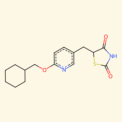 O=C1NC(=O)C(Cc2ccc(OCC3CCCCC3)nc2)S1